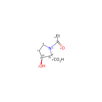 CCC(=O)N1CC[C@H](O)[C@H]1C(=O)O